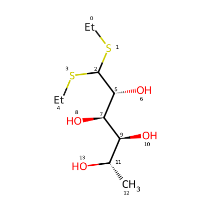 CCSC(SCC)[C@H](O)[C@H](O)[C@@H](O)[C@H](C)O